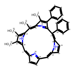 O=C(O)C1=C(c2ccccc2)c2nc1c(C(=O)O)c1[nH]c(cc3nc(cc4ccc([nH]4)c2-c2ccccc2)C=C3)c(C(=O)O)c1C(=O)O